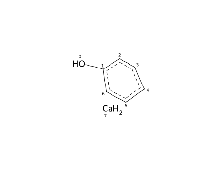 Oc1ccccc1.[CaH2]